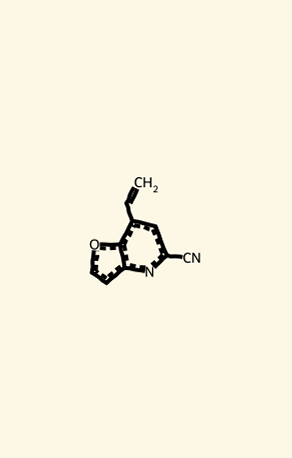 C=Cc1cc(C#N)nc2ccoc12